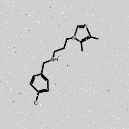 Cc1ncn(CCCNCc2ccc(Cl)cc2)c1C